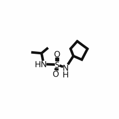 CC(C)NS(=O)(=O)NC1CCCC1